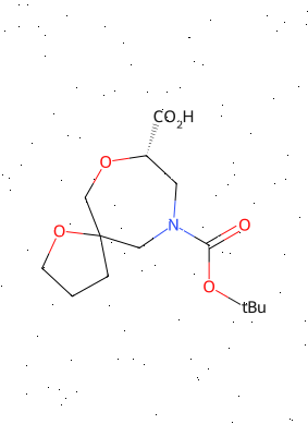 CC(C)(C)OC(=O)N1C[C@@H](C(=O)O)OCC2(CCCO2)C1